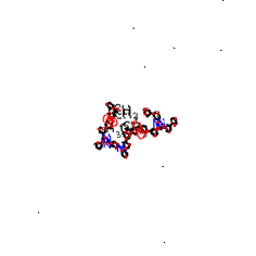 CC1(C)c2ccccc2-c2cc3c(cc21)Oc1ccc(-c2cccc(-c4cc(-c5ccccc5)nc(-c5ccc(-n6c7ccccc7c7ccc(-c8ccc9c(c8)-c8cc%10c(cc8C9(C)C)Oc8ccc(-c9cccc(-c%11cc(-c%12cccc(-c%13ccccc%13)c%12)nc(-c%12cccc(-c%13ccccc%13)c%12)n%11)c9)cc8O%10)cc76)cc5)n4)c2)cc1O3